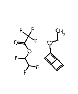 CCOc1cc2ccc1-2.O=C(OC(F)C(F)F)C(F)(F)F